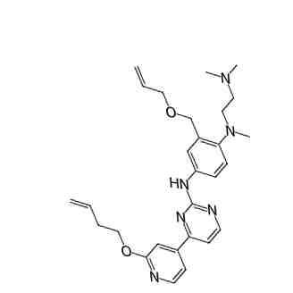 C=CCCOc1cc(-c2ccnc(Nc3ccc(N(C)CCN(C)C)c(COCC=C)c3)n2)ccn1